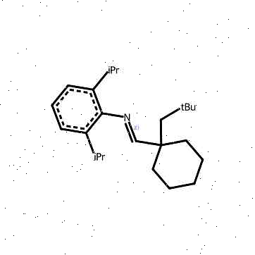 CC(C)c1cccc(C(C)C)c1/N=C/C1(CC(C)(C)C)CCCCC1